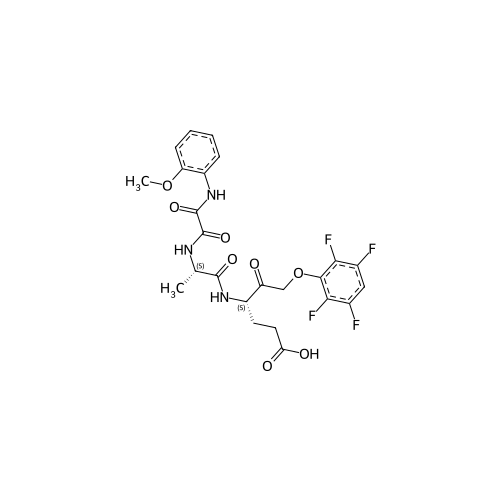 COc1ccccc1NC(=O)C(=O)N[C@@H](C)C(=O)N[C@@H](CCC(=O)O)C(=O)COc1c(F)c(F)cc(F)c1F